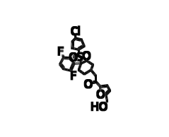 O=C(CC1CCC(c2cc(F)ccc2F)(S(=O)(=O)c2ccc(Cl)cc2)CC1)c1ccc(CO)o1